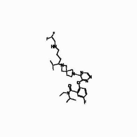 CCN(C(=O)c1cc(F)ccc1Oc1nncnc1N1CCC2(C1)CN(C(CCCNCC(F)F)C(C)C)C2)C(C)C